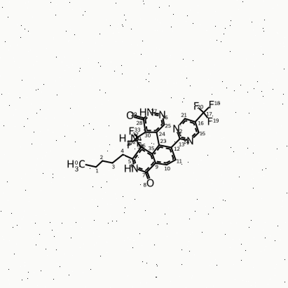 CCCCCc1[nH]c(=O)c2ccc(-c3ncc(C(F)(F)F)cn3)c(-c3cn[nH]c(=O)c3C(F)(F)F)c2c1N